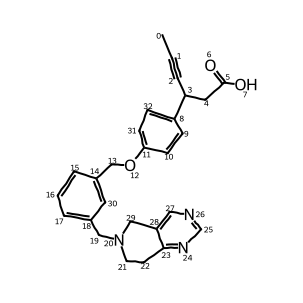 CC#CC(CC(=O)O)c1ccc(OCc2cccc(CN3CCc4ncncc4C3)c2)cc1